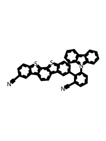 N#Cc1ccc2sc3c(ccc4c5cc(-c6c(C#N)cccc6-n6c7ccccc7c7ccccc76)ccc5sc43)c2c1